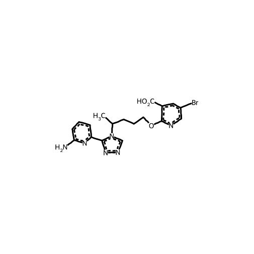 CC(CCCOc1ncc(Br)cc1C(=O)O)n1cnnc1-c1cccc(N)n1